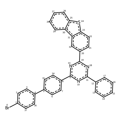 Brc1ccc(-c2ccc(-c3nc(-c4ccccc4)nc(-c4ccc5sc6ccccc6c5c4)n3)cc2)cc1